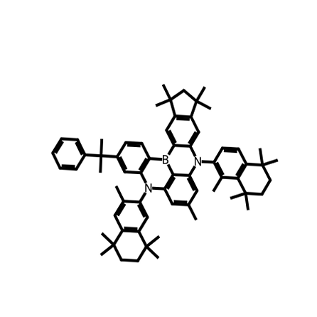 Cc1cc2c3c(c1)N(c1ccc4c(c1C)C(C)(C)CCC4(C)C)c1cc4c(cc1B3c1ccc(C(C)(C)c3ccccc3)cc1N2c1cc2c(cc1C)C(C)(C)CCC2(C)C)C(C)(C)CC4(C)C